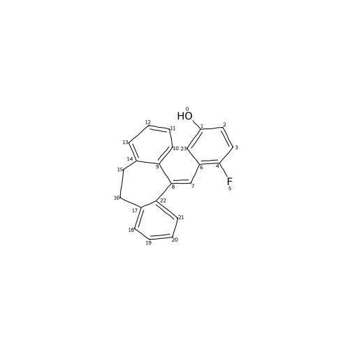 Oc1ccc(F)c(C=C2c3ccccc3CCc3ccccc32)c1